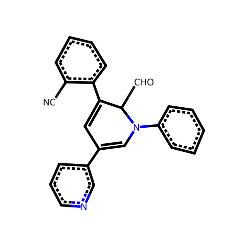 N#Cc1ccccc1C1=CC(c2cccnc2)=CN(c2ccccc2)C1C=O